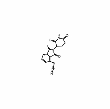 [N-]=[N+]=Nc1cccc2c1C(=O)N(C1CCC(=O)NC1=O)C2=O